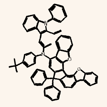 C=Cc1c(/C=C(\C)N(c2ccc(C(C)(C)C)cc2)c2cc3c(c4oc5ccccc5c24)-c2c(ccc4c2oc2ccccc24)C3(c2ccccc2)c2ccccc2)c2ccccc2n1-c1ccccc1